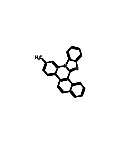 Cc1ccc2c3ccc4ccccc4c3c3nc4ccccc4n3c2c1